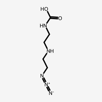 [N-]=[N+]=NCCNCCNC(=O)O